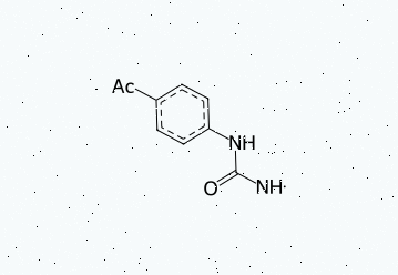 CC(=O)c1ccc(NC([NH])=O)cc1